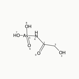 O=C(CO)N[As](=O)(O)O